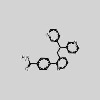 NC(=O)c1ccc(-c2ncccc2CC(c2cccnc2)c2cccnc2)cc1